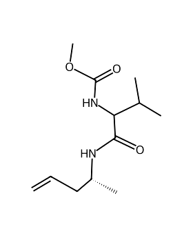 C=CC[C@@H](C)NC(=O)C(NC(=O)OC)C(C)C